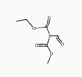 CCOC(=O)N([C]=O)C(=O)OC